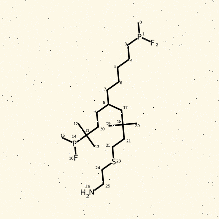 CP(F)CCCCCC(CCC(C)(C)P(C)F)CC(C)(C)CCSCCN